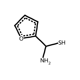 NC(S)c1ccco1